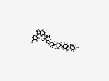 Cc1cnc(-c2ccc(C3=CCN(C(=O)CN4CC[C@@H](C(=O)Nc5ccc6[nH]nc(-c7ccc(F)cc7)c6c5)C4)CC3)cc2F)nc1